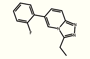 CCc1nnc2ccc(-c3ccccc3F)cn12